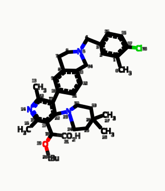 Cc1cc(CN2CCc3cc(-c4c(C)nc(C)c(C(OC(C)(C)C)C(=O)O)c4N4CCC(C)(C)CC4)ccc3C2)ccc1Cl